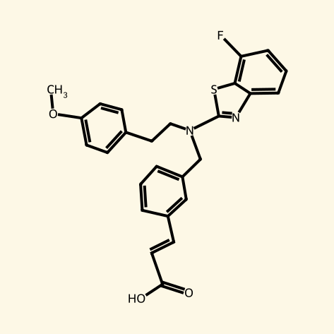 COc1ccc(CCN(Cc2cccc(/C=C/C(=O)O)c2)c2nc3cccc(F)c3s2)cc1